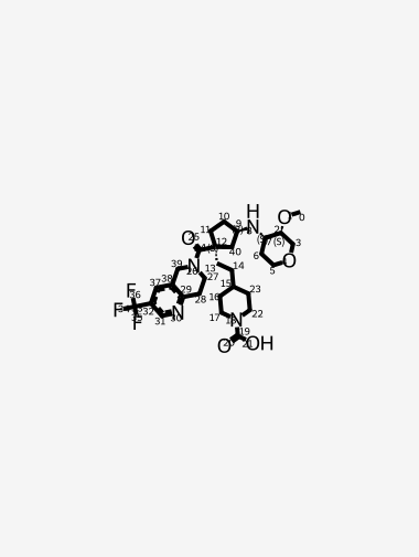 CO[C@@H]1COCC[C@@H]1N[C@@H]1CC[C@](CCC2CCN(C(=O)O)CC2)(C(=O)N2CCc3ncc(C(F)(F)F)cc3C2)C1